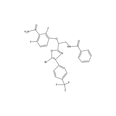 NC(=O)c1c(F)ccc(OC(CNC(=O)c2ccccc2)c2nc(-c3ccc(C(F)(F)F)cc3)c(Br)o2)c1F